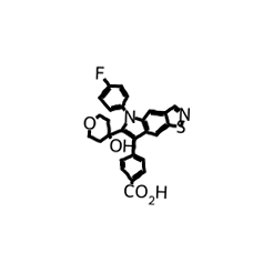 O=C(O)c1ccc(-c2c(C3(O)CCOCC3)n(-c3ccc(F)cc3)c3cc4cnsc4cc23)cc1